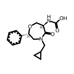 O=C(O)N[C@@H]1CO[C@@H](c2ccccc2)CN(CC2CC2)C1=O